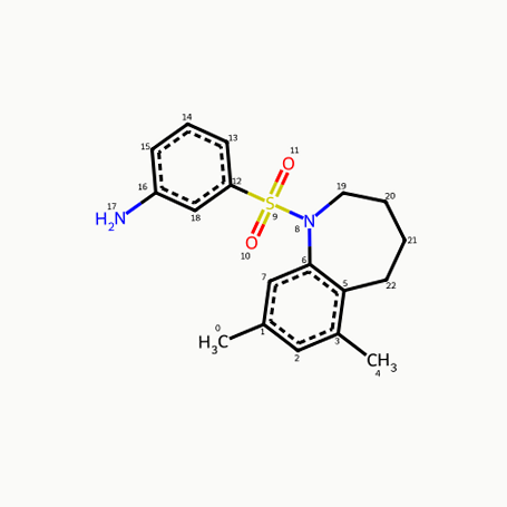 Cc1cc(C)c2c(c1)N(S(=O)(=O)c1cccc(N)c1)CCCC2